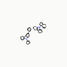 C1=C(c2cccc(-c3ccc4c(c3)c3ccccc3n4-c3ccccc3)c2)CCc2c1c1ccccc1n2-c1cccc2ccccc12